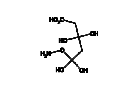 NOC(O)(O)CC(O)(O)CC(=O)O